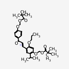 CCCOc1cc(OCOC(=O)C(C)(C)C)c(C(C)C)cc1/C=C/C(=O)c1ccc(OCOC(=O)C(C)(C)C)cc1